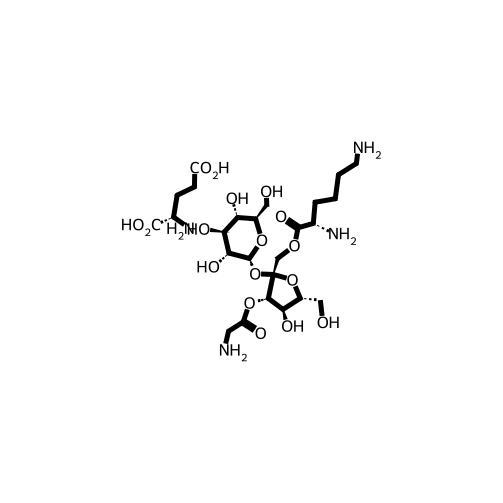 NCCCC[C@H](N)C(=O)OC[C@@]1(O[C@H]2O[C@H](CO)[C@@H](O)[C@H](O)[C@H]2O)O[C@H](CO)[C@@H](O)[C@@H]1OC(=O)CN.N[C@@H](CCC(=O)O)C(=O)O